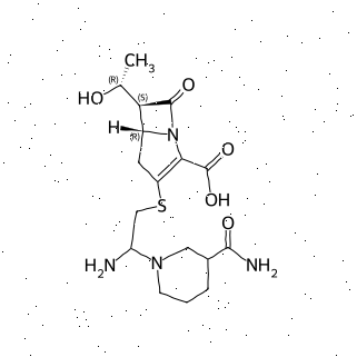 C[C@@H](O)[C@H]1C(=O)N2C(C(=O)O)=C(SCC(N)N3CCCC(C(N)=O)C3)C[C@H]12